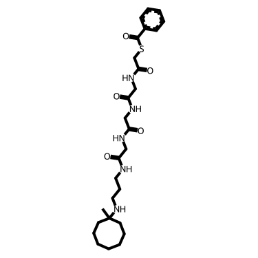 CC1(NCCCNC(=O)CNC(=O)CNC(=O)CNC(=O)CSC(=O)c2ccccc2)CCCCCCC1